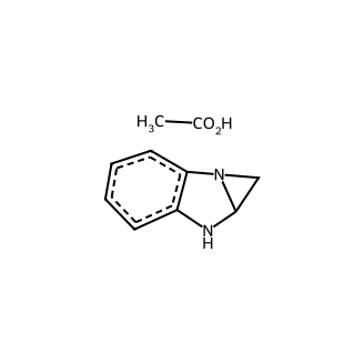 CC(=O)O.c1ccc2c(c1)NC1CN21